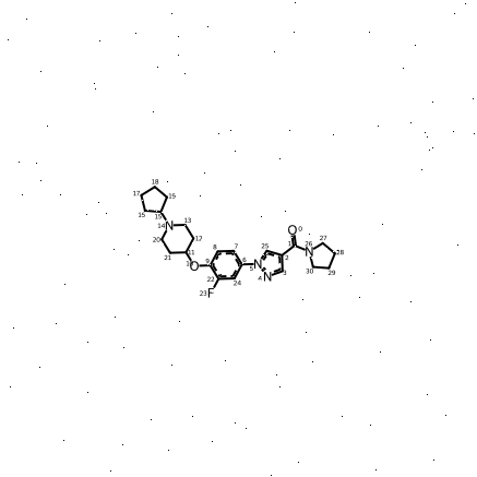 O=C(c1cnn(-c2ccc(OC3CCN(C4CCCC4)CC3)c(F)c2)c1)N1CCCC1